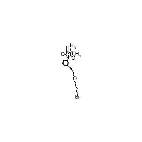 CC1(C)NC(=O)N(c2cccc(C#CCCOCCCCCCBr)c2)C1=O